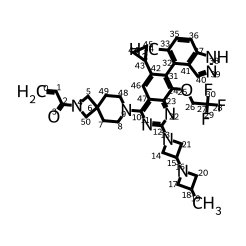 C=CC(=O)N1CC2(CCN(c3nc(N4CC(N5CC(C)C5)C4)nc4c(OCC(F)(F)F)c(-c5c(C)ccc6[nH]ncc56)c(C5CC5)cc34)CC2)C1